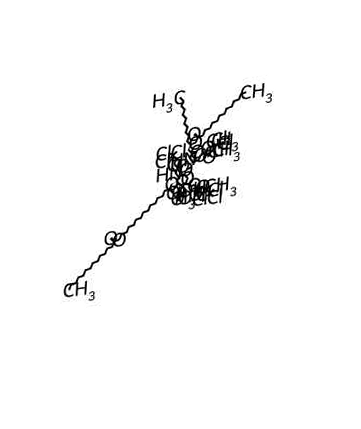 CCCCCCCCCCCCCC(=O)OCCCCCCCCCCCCCC(=O)O[C@@H]1[C@@H](NC(=O)OCC(Cl)(Cl)Cl)[C@H](OC[C@@H](COC(=O)OC(C)(C)C(Cl)(Cl)Cl)NC(=O)C[C@@H](CCCCCCCCCCC)OC(=O)CCCCCCCCCCCCC)O[C@H](COC(=O)OC(C)(C)C(Cl)(Cl)Cl)[C@H]1OP(=O)(O)O